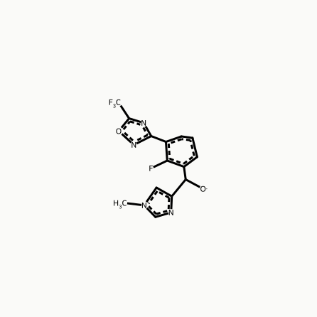 Cn1cnc(C([O])c2cccc(-c3noc(C(F)(F)F)n3)c2F)c1